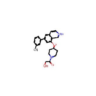 N#Cc1cccc(-c2cc3c(c(OC4CCN(C(=O)CO)CC4)c2)CNC=C3)c1